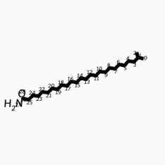 CC(C)CCCCCCCCCCCCCCCCCCCCCCCC(N)=O